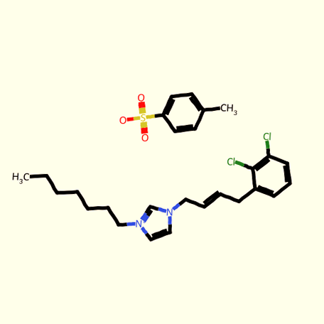 CCCCCCC[n+]1ccn(CC=CCc2cccc(Cl)c2Cl)c1.Cc1ccc(S(=O)(=O)[O-])cc1